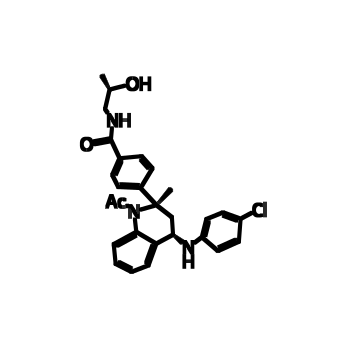 CC(=O)N1c2ccccc2[C@H](Nc2ccc(Cl)cc2)C[C@@]1(C)c1ccc(C(=O)NC[C@@H](C)O)cc1